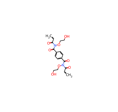 C=CC(=O)N(OCCO)C(=O)c1ccc(C(=O)N(OCCO)C(=O)C=C)cc1